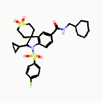 O=C(NCC1CCCCC1)c1ccc2c(c1)C1(CCS(=O)(=O)CC1)C(C1CC1)N2S(=O)(=O)c1ccc(F)cc1